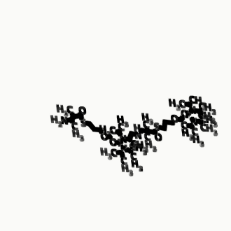 CC(N)C(C)C(=O)SCCCOCOP(N(C(C)C)C(C)C)N(C(C)C)C(C)CNCC(C)(C)C(=O)SCCCOCOP(N(C(C)C)C(C)C)N(C(C)C)C(C)C